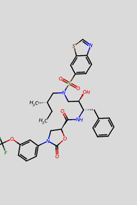 CC[C@H](C)CN(C[C@@H](O)[C@H](Cc1ccccc1)NC(=O)[C@@H]1CN(c2cccc(OC(F)(F)F)c2)C(=O)O1)S(=O)(=O)c1ccc2ncsc2c1